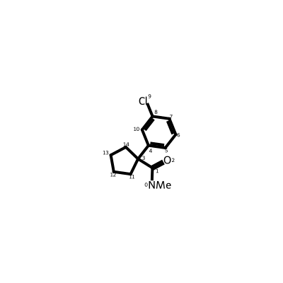 CNC(=O)C1(c2cccc(Cl)c2)CCCC1